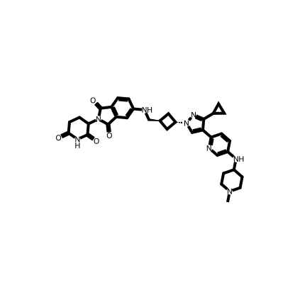 CN1CCC(Nc2ccc(-c3cn([C@H]4C[C@H](CNc5ccc6c(c5)C(=O)N(C5CCC(=O)NC5=O)C6=O)C4)nc3C3CC3)nc2)CC1